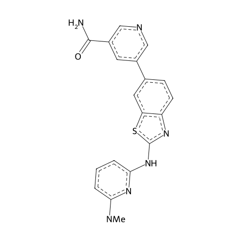 CNc1cccc(Nc2nc3ccc(-c4cncc(C(N)=O)c4)cc3s2)n1